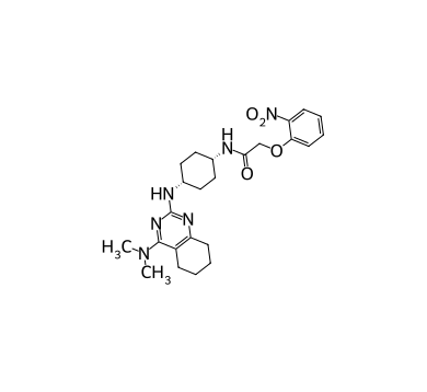 CN(C)c1nc(N[C@H]2CC[C@@H](NC(=O)COc3ccccc3[N+](=O)[O-])CC2)nc2c1CCCC2